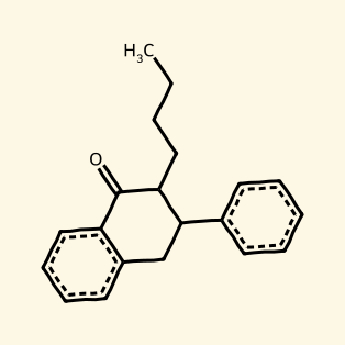 CCCCC1C(=O)c2ccccc2CC1c1ccccc1